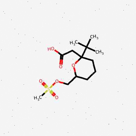 CC(C)(C)C1(CC(=O)O)CCCC(COS(C)(=O)=O)O1